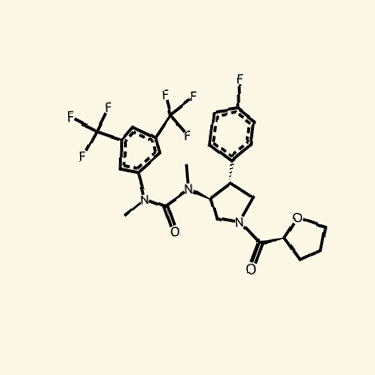 CN(C(=O)N(C)[C@@H]1CN(C(=O)[C@@H]2CCCO2)C[C@H]1c1ccc(F)cc1)c1cc(C(F)(F)F)cc(C(F)(F)F)c1